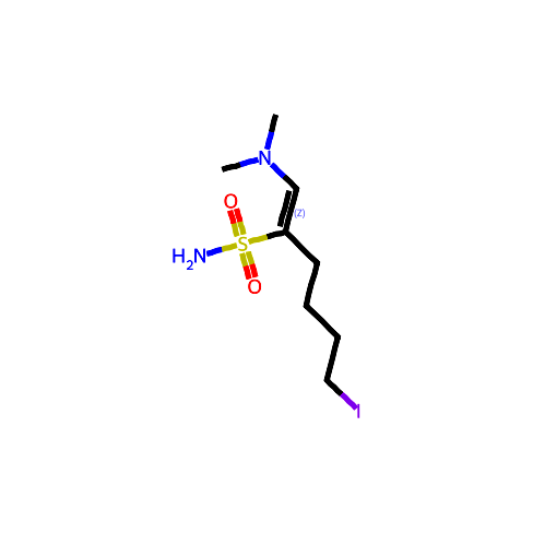 CN(C)/C=C(/CCCCI)S(N)(=O)=O